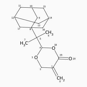 C=C1COC(C(C)(C)C23CC4CC(CC(C4)C2)C3)OC1=O